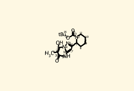 Cc1c(O)n2nc(C3CCCCN3C(=O)OC(C)(C)C)cc2[nH]c1=O